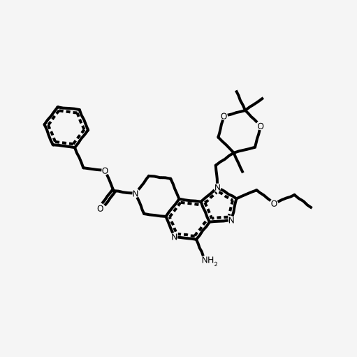 CCOCc1nc2c(N)nc3c(c2n1CC1(C)COC(C)(C)OC1)CCN(C(=O)OCc1ccccc1)C3